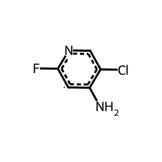 Nc1[c]c(F)ncc1Cl